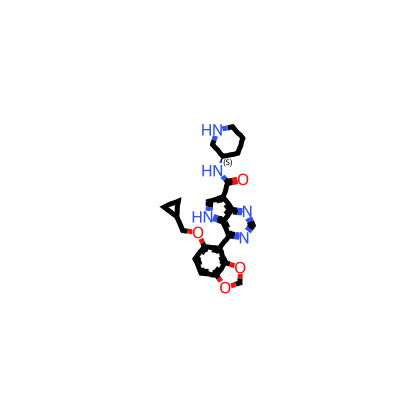 O=C(N[C@H]1CCCNC1)c1c[nH]c2c(-c3c(OCC4CC4)ccc4c3OCO4)ncnc12